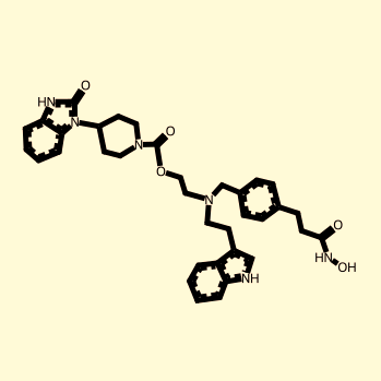 O=C(CCc1ccc(CN(CCOC(=O)N2CCC(n3c(=O)[nH]c4ccccc43)CC2)CCc2c[nH]c3ccccc23)cc1)NO